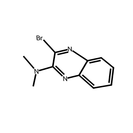 CN(C)c1nc2ccccc2nc1Br